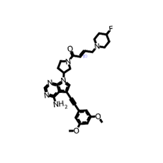 COc1cc(C#Cc2cn(C3CCN(C(=O)/C=C/CN4CCC(F)CC4)C3)c3ncnc(N)c23)cc(OC)c1